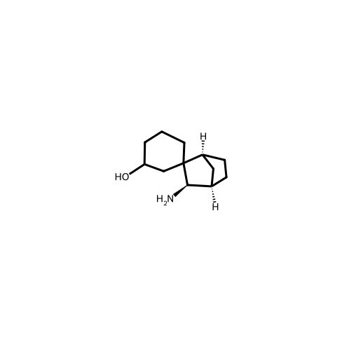 N[C@@H]1[C@@H]2CC[C@@H](C2)C12CCCC(O)C2